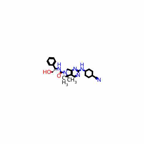 CC1(C)c2cnc(NC3CCC(C#N)CC3)nc2CN1C(=O)N[C@H](CO)c1ccccc1